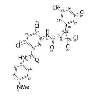 CNc1ccc(NC(=O)c2cc(NC(=O)[C@@H]3[C@@H](c4cc(Cl)cc(Cl)c4)C3(Cl)Cl)c(Cl)cc2Cl)cc1